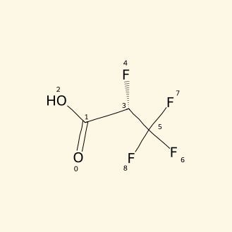 O=C(O)[C@H](F)C(F)(F)F